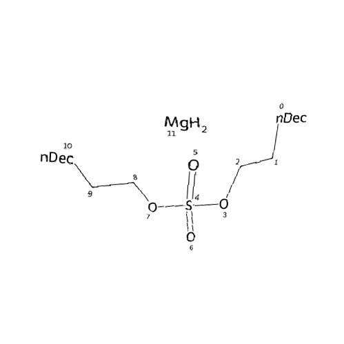 CCCCCCCCCCCCOS(=O)(=O)OCCCCCCCCCCCC.[MgH2]